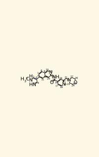 CN/C=C(\C=N)c1ccc2cnc(NC(=O)c3ccnc(CN4CCOCC4)c3)cc2c1